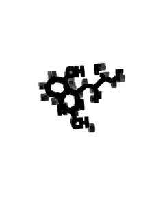 Cc1nc(CC(F)C(F)CF)c2c(O)cccc2n1